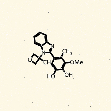 COc1c(C)c(-c2nc3ccccc3n2C2(C)COC2)cc(O)c1O